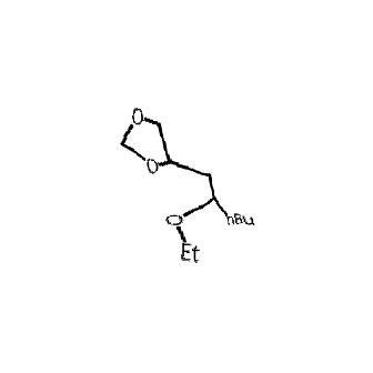 CCCCC(CC1COCO1)OCC